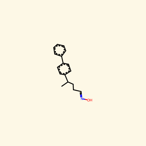 CC(CCC=NO)c1ccc(-c2ccccc2)cc1